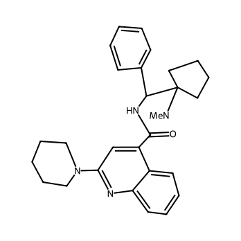 CNC1(C(NC(=O)c2cc(N3CCCCC3)nc3ccccc23)c2ccccc2)CCCC1